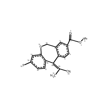 CCCOC(=O)c1ccc2c(c1)COc1cc(F)ccc1/C2=C(\C)C#N